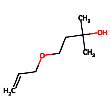 C=CCOCCC(C)(C)O